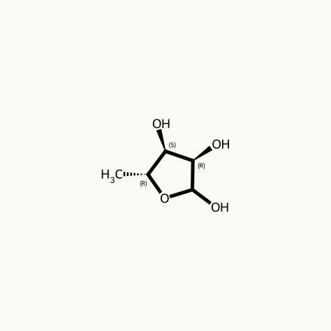 C[C@H]1OC(O)[C@H](O)[C@@H]1O